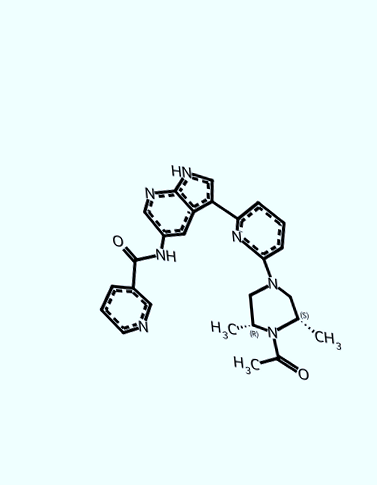 CC(=O)N1[C@H](C)CN(c2cccc(-c3c[nH]c4ncc(NC(=O)c5cccnc5)cc34)n2)C[C@@H]1C